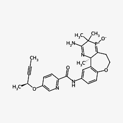 CC#C[C@H](C)Oc1ccc(C(=O)Nc2ccc3c(c2)[C@@]2(C)N=C(N)C(C)(C)[P+]([O-])=C2CCO3)nc1